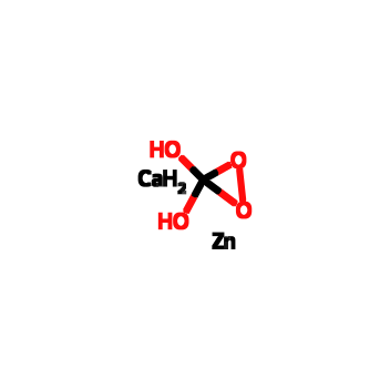 OC1(O)OO1.[CaH2].[Zn]